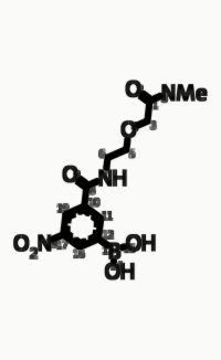 CNC(=O)COCCNC(=O)c1cc(B(O)O)cc([N+](=O)[O-])c1